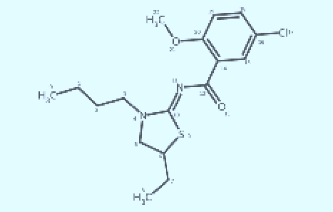 CCCCN1CC(CC)SC1=NC(=O)c1cc(Cl)ccc1OC